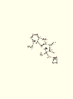 COc1cccc2[nH]c(C(=O)N3CC4(CCC4)CC3(C(C)C)C(C)C)cc12